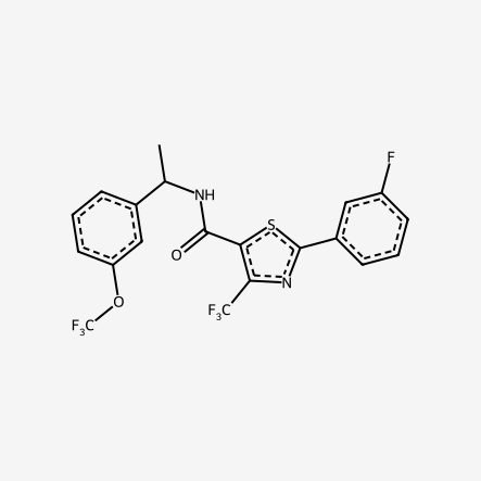 CC(NC(=O)c1sc(-c2cccc(F)c2)nc1C(F)(F)F)c1cccc(OC(F)(F)F)c1